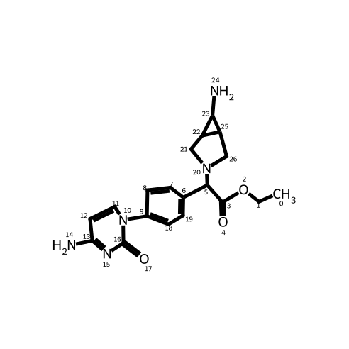 CCOC(=O)C(c1ccc(-n2ccc(N)nc2=O)cc1)N1CC2C(N)C2C1